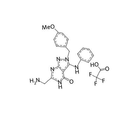 COc1ccc(Cn2nc3nc(CN)[nH]c(=O)c3c2Nc2ccccc2)cc1.O=C(O)C(F)(F)F